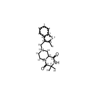 Cc1sc2ccccc2c1CN1CCN2C(=O)C(C)(C)NC(=O)C2C1